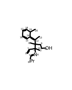 C=CC(C)(N=CC(C)C)C(C)(CCO)/C(C)=C1\C=CC=CC1C